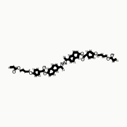 C=CC(=O)OCCCCOc1ccc(C(=O)Oc2ccc3cc(/C(C)=N/N=C(\C)c4ccc5cc(OC(=O)c6ccc(OCCCCOC(=O)C=C)cc6)ccc5c4)ccc3c2)cc1